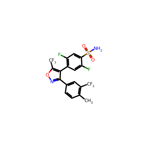 Cc1ccc(-c2noc(C(F)(F)F)c2-c2cc(F)c(S(N)(=O)=O)cc2F)cc1C(F)(F)F